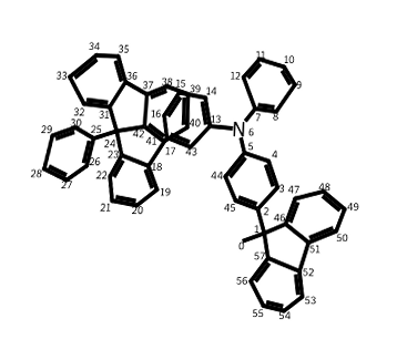 CC1(c2ccc(N(c3ccccc3)c3cccc(-c4ccccc4C4(c5ccccc5)c5ccccc5-c5ccccc54)c3)cc2)c2ccccc2-c2ccccc21